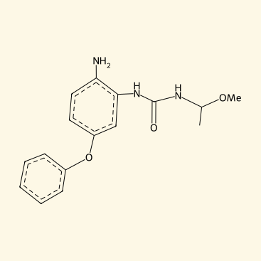 COC(C)NC(=O)Nc1cc(Oc2ccccc2)ccc1N